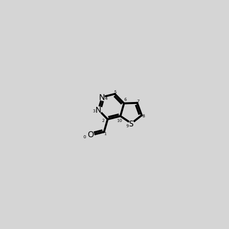 O=Cc1nncc2ccsc12